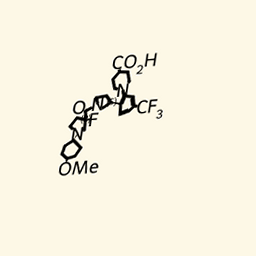 CO[C@H]1CC[C@H](N2CC[C@](F)(C(=O)N3CC[C@@H](c4ccc(C(F)(F)F)cc4N4CCC(C(=O)O)CC4)C3)C2)CC1